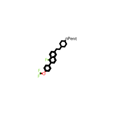 CCCCCC1CCC(CCc2ccc3c(F)c(-c4ccc(OC(F)F)cc4)ccc3c2)CC1